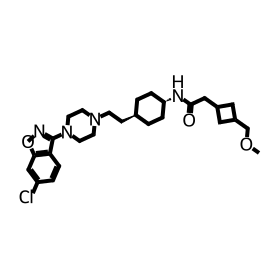 COCC1CC(CC(=O)N[C@H]2CC[C@H](CCN3CCN(c4noc5cc(Cl)ccc45)CC3)CC2)C1